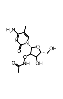 CC(=O)NOC1C(O)[C@@H](CO)O[C@H]1n1cc(C)c(N)nc1=O